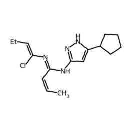 C\C=C/C(=N\C(Cl)=C\CC)Nc1cc(C2CCCC2)[nH]n1